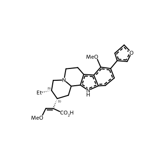 CC[C@@H]1CN2CCc3c([nH]c4ccc(-c5ccoc5)c(OC)c34)C2C[C@@H]1C(=COC)C(=O)O